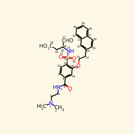 CN(C)CCNC(=O)c1ccc(S(=O)(=O)N[C@H](C=O)CC(=O)O)c(OCCc2ccc3ccccc3c2)c1